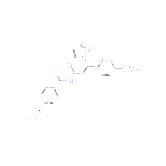 COc1ccc(-c2cc(NC(=O)c3ccc(C(C)(C)O)cc3)nc3ccnn23)cc1